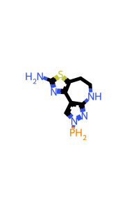 Nc1nc2c(s1)CCNc1nn(P)cc1-2